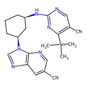 [CH3][Sn]([CH3])([CH3])[c]1nc(N[C@@H]2CCC[C@H](n3cnc4cc(C#N)cnc43)C2)ncc1C#N